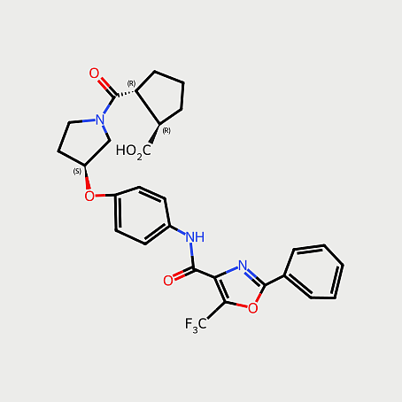 O=C(Nc1ccc(O[C@H]2CCN(C(=O)[C@@H]3CCC[C@H]3C(=O)O)C2)cc1)c1nc(-c2ccccc2)oc1C(F)(F)F